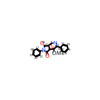 COC12OC(N=C1c1ccccc1)C1C(=O)N(c3ccccc3)C(=O)C12